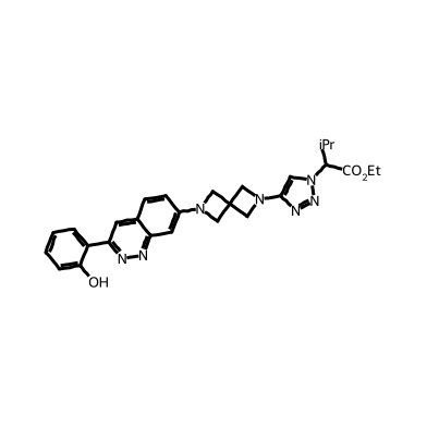 CCOC(=O)C(C(C)C)n1cc(N2CC3(CN(c4ccc5cc(-c6ccccc6O)nnc5c4)C3)C2)nn1